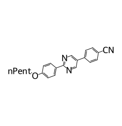 CCCCCOc1ccc(-c2ncc(-c3ccc(C#N)cc3)cn2)cc1